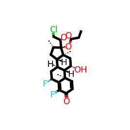 CCC(=O)O[C@]1(C(=O)CCl)[C@@H](C)C[C@H]2[C@@H]3C[C@H](F)C4=C(F)C(=O)C=C[C@]4(C)[C@H]3[C@@H](O)C[C@@]21C